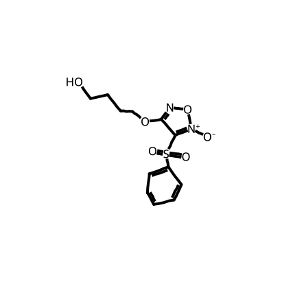 O=S(=O)(c1ccccc1)c1c(OCCCCO)no[n+]1[O-]